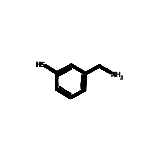 NCc1cccc(S)c1